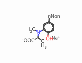 CCCCCCCCCc1ccc(O)c(N(C)[C@@H](C)C(=O)[O-])c1.[Na+]